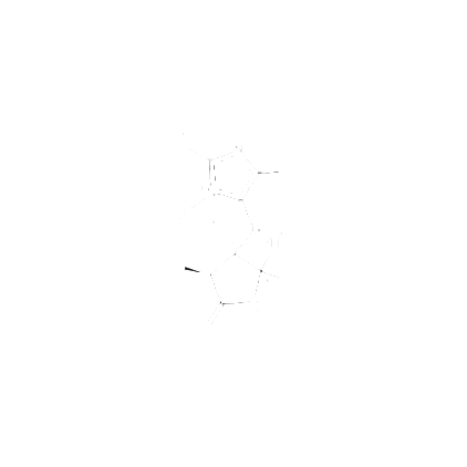 [2H]c1nc(C)n(C)c1C[C@]1([2H])[C@H](CC)C(=O)OC1([2H])[2H]